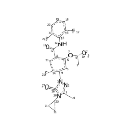 Cc1nn(-c2cc(O[C@@H](C)C(F)(F)F)c(C(=O)Nc3c(F)cccc3F)cc2F)c(=O)n1C1CC1